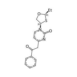 CC[C@@H]1OC[C@H](n2ccc(CC(=O)c3ccccc3)nc2=O)S1